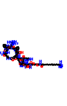 N=C(N)NCCC[C@@H]1NC(=O)[C@@H](Cc2ccccc2)NC(=O)[C@@H]2C[C@@H](O)CN2C(=O)[C@@H](NC(=O)[C@@H](CCCN)NC(=O)CNC(=O)[C@H](Cc2c[nH]cn2)NC(=O)[C@H](CCC(N)=O)NC(=O)[C@H](CO)NC(=O)CNC(=O)COCCOCCNC(=O)CCCCCCCCCCCCCCCc2nnn[nH]2)CCC(=O)CNCCCC[C@@H](C(N)=O)NC(=O)[C@H](Cc2c[nH]c3ccccc23)NC1=O